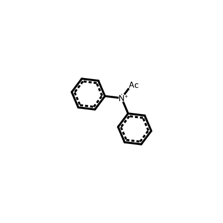 CC(=O)[N+](c1ccccc1)c1ccccc1